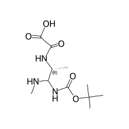 CNC(NC(=O)OC(C)(C)C)[C@@H](C)NC(=O)C(=O)O